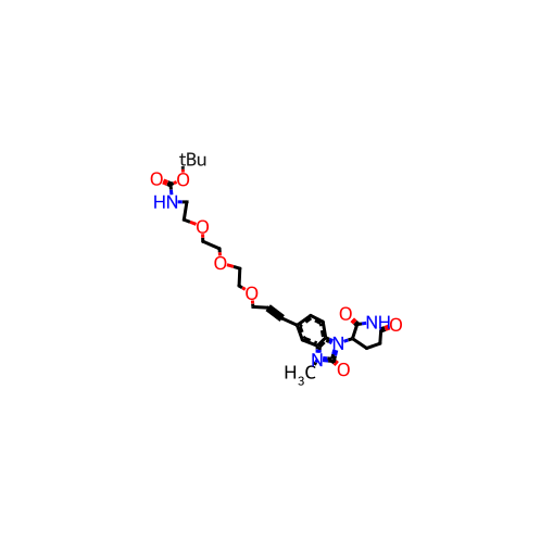 Cn1c(=O)n(C2CCC(=O)NC2=O)c2ccc(C#CCOCCOCCOCCNC(=O)OC(C)(C)C)cc21